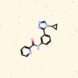 O=C(Nc1cccc(-c2nncn2C2CC2)c1)c1ccccn1